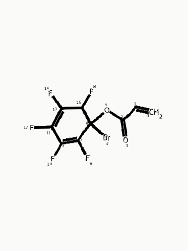 C=CC(=O)OC1(Br)C(F)=C(F)C(F)=C(F)C1F